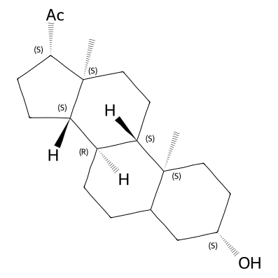 CC(=O)[C@H]1CC[C@H]2[C@@H]3CCC4C[C@@H](O)CC[C@]4(C)[C@H]3CC[C@]12C